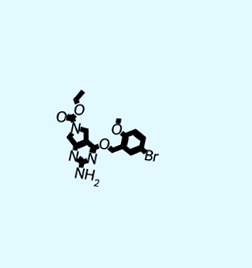 CCOC(=O)N1Cc2nc(N)nc(OCc3cc(Br)ccc3OC)c2C1